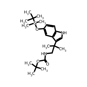 CC(C)(C)OC(=O)NCC(C)(C)c1c[nH]c2ccc(O[Si](C)(C)C(C)(C)C)cc12